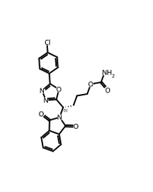 NC(=O)OCCC[C@@H](c1nnc(-c2ccc(Cl)cc2)o1)N1C(=O)c2ccccc2C1=O